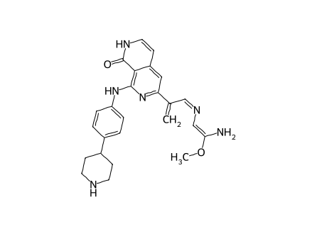 C=C(/C=N\C=C(/N)OC)c1cc2cc[nH]c(=O)c2c(Nc2ccc(C3CCNCC3)cc2)n1